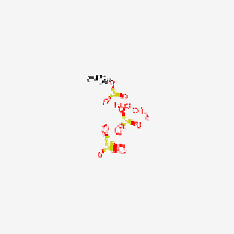 O.O.O=S([O-])[O-].O=S([O-])[O-].O=S([O-])[O-].[Al+3].[Al+3]